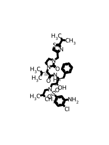 CC(C)CN(C[C@H](O)[C@H](Cc1ccccc1)NC(=O)[C@H](C(C)C)N1CCN(Cc2csc(C(C)C)n2)C1=O)S(=O)(=O)c1ccc(Cl)c(N)c1